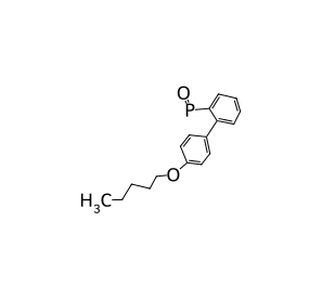 CCCCCOc1ccc(-c2ccccc2P=O)cc1